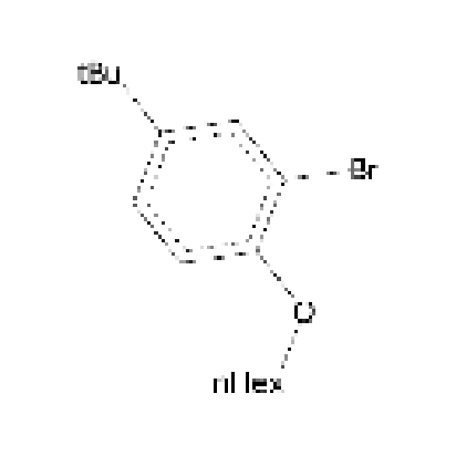 CCCCCCOc1ccc(C(C)(C)C)cc1Br